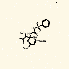 COC1=CC(OC)=NC(NC(=O)NS(=O)(=O)c2ccccc2)(C(OC(C)=O)C(C)F)N1